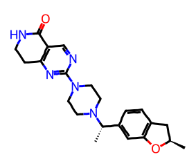 C[C@@H]1Cc2ccc([C@H](C)N3CCN(c4ncc5c(n4)CCNC5=O)CC3)cc2O1